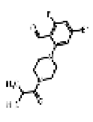 CC(C)C(=O)N1CCN(c2cc(Br)cc(F)c2C=O)CC1